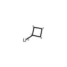 [Li][CH]1CCC1